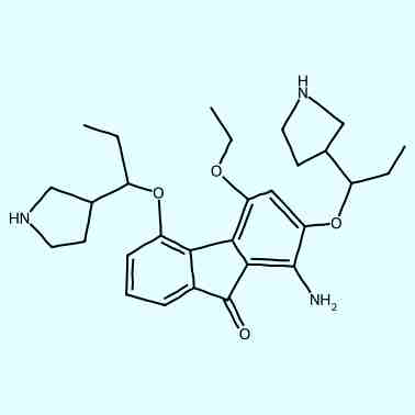 CCOc1cc(OC(CC)C2CCNC2)c(N)c2c1-c1c(OC(CC)C3CCNC3)cccc1C2=O